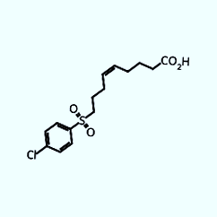 O=C(O)CCC/C=C\CCCS(=O)(=O)c1ccc(Cl)cc1